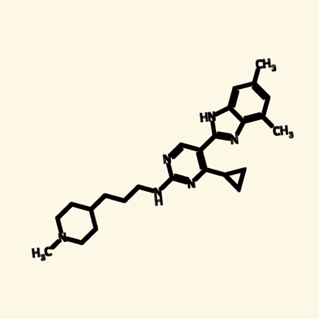 Cc1cc(C)c2nc(-c3cnc(NCCCC4CCN(C)CC4)nc3C3CC3)[nH]c2c1